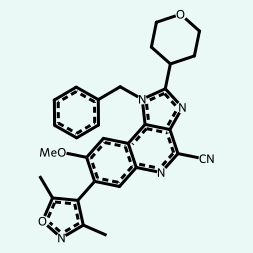 COc1cc2c(cc1-c1c(C)noc1C)nc(C#N)c1nc(C3CCOCC3)n(Cc3ccccc3)c12